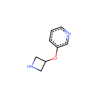 c1cncc(OC2CNC2)c1